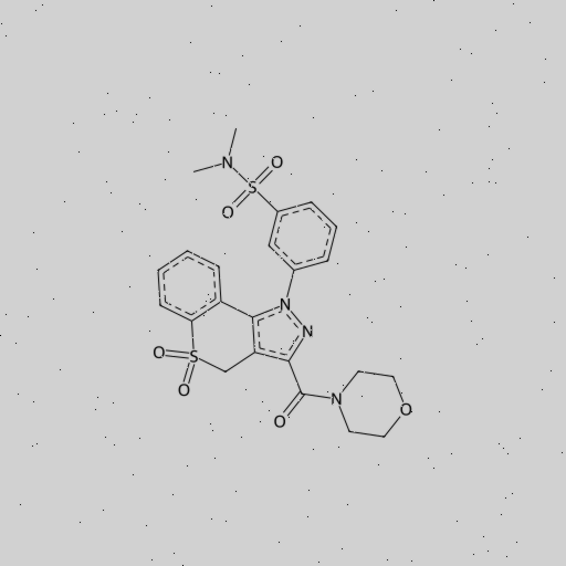 CN(C)S(=O)(=O)c1cccc(-n2nc(C(=O)N3CCOCC3)c3c2-c2ccccc2S(=O)(=O)C3)c1